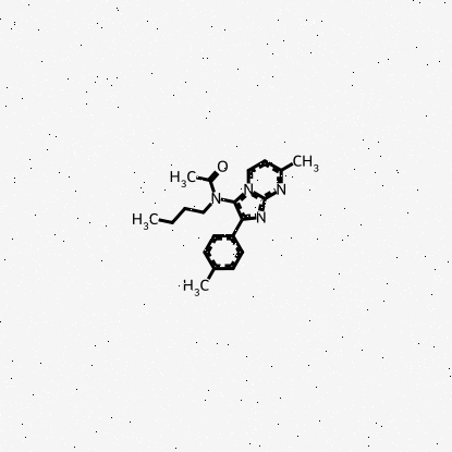 CCCCN(C(C)=O)c1c(-c2ccc(C)cc2)nc2nc(C)ccn12